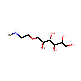 CC(C)(C)NCCOCC(O)[C@@H](O)[C@H](O)C(O)CO